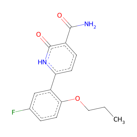 CCCOc1ccc(F)cc1-c1ccc(C(N)=O)c(=O)[nH]1